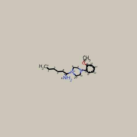 CCCCCC(N)N1CCN(c2ccccc2OC)CC1